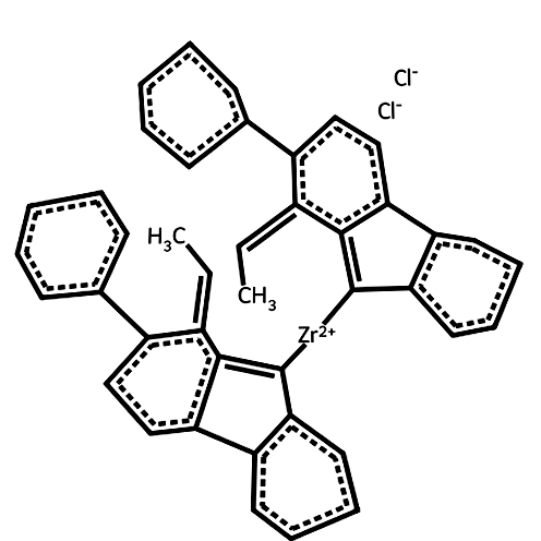 CC=c1c(-c2ccccc2)ccc2c1=[C]([Zr+2][C]1=c3c(ccc(-c4ccccc4)c3=CC)-c3ccccc31)c1ccccc1-2.[Cl-].[Cl-]